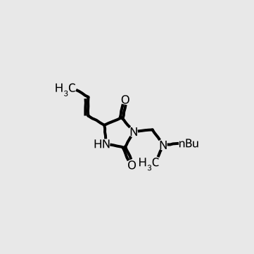 CC=CC1NC(=O)N(CN(C)CCCC)C1=O